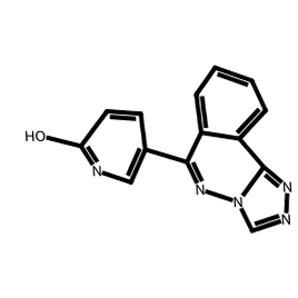 Oc1ccc(-c2nn3cnnc3c3ccccc23)cn1